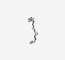 CC(C)(C)CCCOCCOCCC(C)(C)C